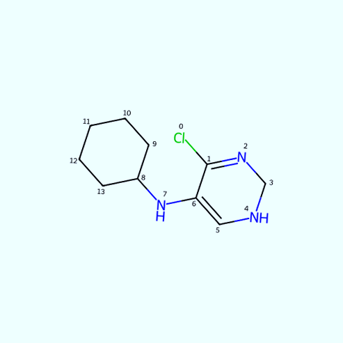 ClC1=NCNC=C1NC1CCCCC1